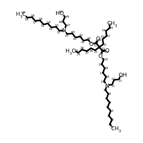 CCCCCCCCCCN(CCCO)CCCCCCOC(=O)C(CCCCCC)(CCCCCC)C(=O)OCCCCCCN(CCCO)CCCCCCCCCC